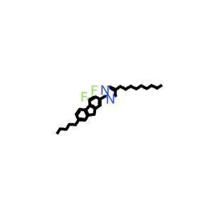 CCCCCCCCCc1cnc(-c2cc3c(c(F)c2F)-c2ccc(CCCCC)cc2C3)nc1